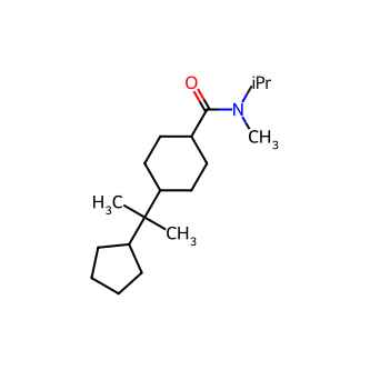 CC(C)N(C)C(=O)C1CCC(C(C)(C)C2CCCC2)CC1